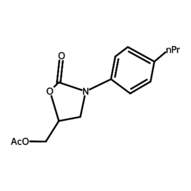 CCCc1ccc(N2CC(COC(C)=O)OC2=O)cc1